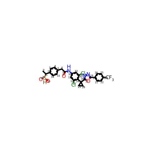 CC(c1ccc(CC(=O)Nc2cc(Cl)c(C3(c4nnc(-c5ccc(C(F)(F)F)cc5)o4)CC3)c(Cl)c2)cc1)[SH](=O)=O